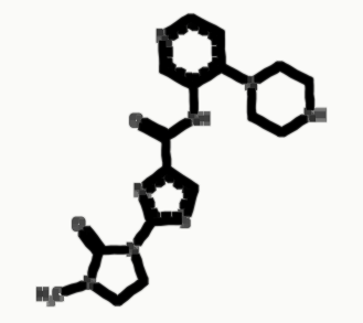 CN1CCN(c2nc(C(=O)Nc3cnccc3N3CCNCC3)cs2)C1=O